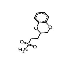 NS(=O)(=O)CCC1COc2ccccc2O1